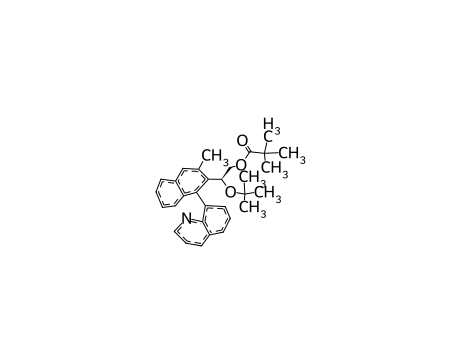 Cc1cc2ccccc2c(-c2cccc3cccnc23)c1[C@@H](COC(=O)C(C)(C)C)OC(C)(C)C